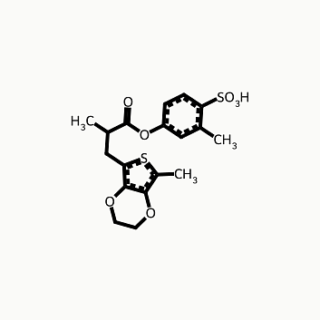 Cc1cc(OC(=O)C(C)Cc2sc(C)c3c2OCCO3)ccc1S(=O)(=O)O